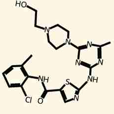 Cc1nc(Nc2ncc(C(=O)Nc3c(C)cccc3Cl)s2)nc(N2CCN(CCO)CC2)n1